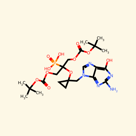 CC(C)(C)OC(=O)OCC(COC(=O)OC(C)(C)C)(OC1(Cn2cnc3c(O)nc(N)nc32)CC1)P(=O)(O)O